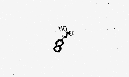 CCC(O)CSc1ccc2ccccc2c1